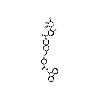 O=C1CCN(c2cc(C(=O)N3CCC4(CCC(CCN5CCN(C(=O)OCC6c7ccccc7-c7ccccc76)CC5)CC4)CC3)ccc2Cl)C(=O)N1